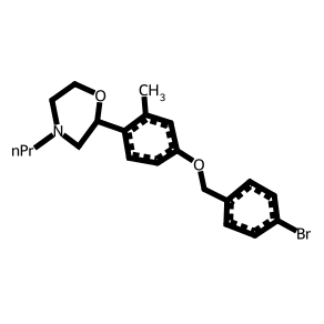 CCCN1CCOC(c2ccc(OCc3ccc(Br)cc3)cc2C)C1